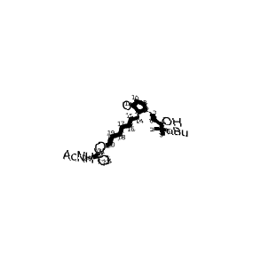 CCCCC(C)(C)[C@H](O)/C=C/[C@H]1C=CC(=O)[C@@H]1CCCCCCCOC(=O)NC(C)=O